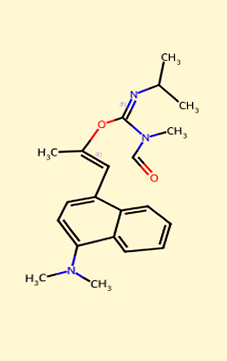 C/C(=C\c1ccc(N(C)C)c2ccccc12)O/C(=N/C(C)C)N(C)C=O